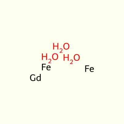 O.O.O.[Fe].[Fe].[Gd]